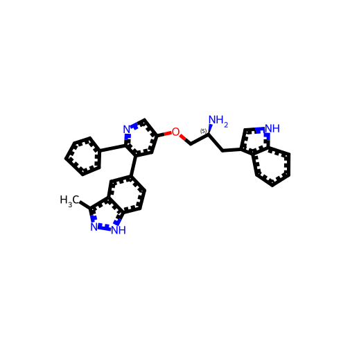 Cc1n[nH]c2ccc(-c3cc(OC[C@@H](N)Cc4c[nH]c5ccccc45)cnc3-c3ccccc3)cc12